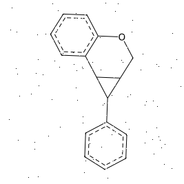 c1ccc(C2C3COc4ccccc4C32)cc1